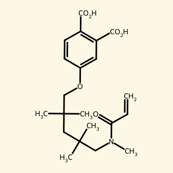 C=CC(=O)N(C)CC(C)(C)CC(C)(C)COc1ccc(C(=O)O)c(C(=O)O)c1